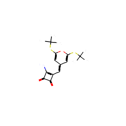 CC(C)(C)SC1=CC(=Cc2c(N)c(=O)c2=O)C=C(SC(C)(C)C)O1